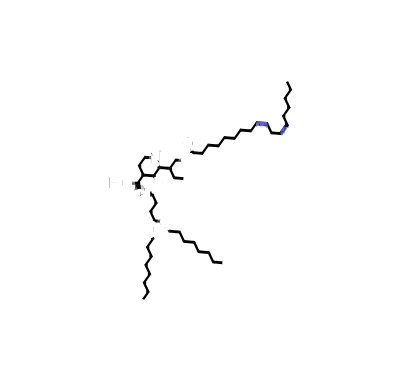 CCCCC/C=C\C/C=C\CCCCCCCC(=O)OCC(CC)C1C(OC(=O)CCC(OCCCCCCCC)OCCCCCCCC)C(C(=O)O)CCN1C